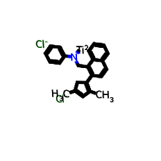 CC1=CC(C)=C(c2ccc3ccccc3c2C[N]([Ti+2])c2ccccc2)C1.[Cl-].[Cl-]